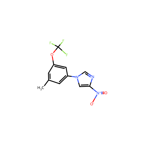 Cc1cc(OC(F)(F)F)cc(-n2cnc([N+](=O)[O-])c2)c1